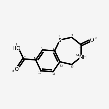 O=C1CSc2cc(C(=O)O)ccc2CN1